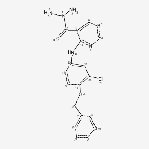 NN(N)C(=O)c1cncnc1Nc1ccc(OCc2ccccc2)c(Cl)c1